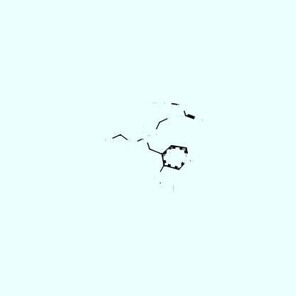 CCOP(=O)(Cc1ccncc1OC)OCC.COC=O